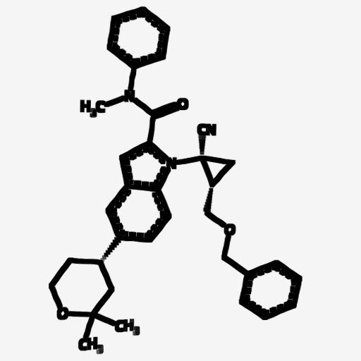 CN(C(=O)c1cc2cc([C@H]3CCOC(C)(C)C3)ccc2n1[C@@]1(C#N)C[C@@H]1COCc1ccccc1)c1ccccc1